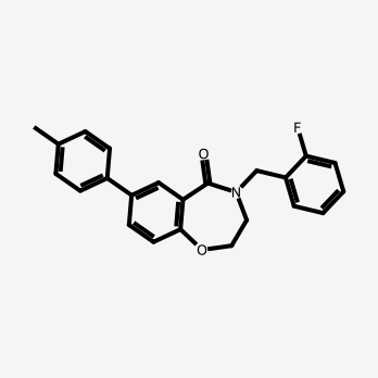 Cc1ccc(-c2ccc3c(c2)C(=O)N(Cc2ccccc2F)CCO3)cc1